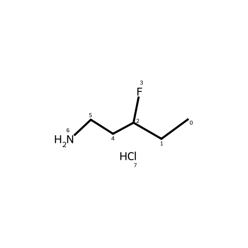 CCC(F)CCN.Cl